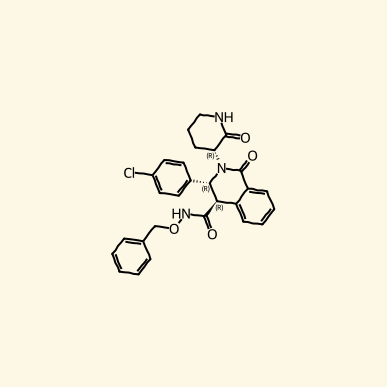 O=C(NOCc1ccccc1)[C@@H]1c2ccccc2C(=O)N([C@@H]2CCCNC2=O)[C@H]1c1ccc(Cl)cc1